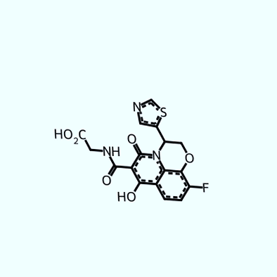 O=C(O)CNC(=O)c1c(O)c2ccc(F)c3c2n(c1=O)C(c1cncs1)CO3